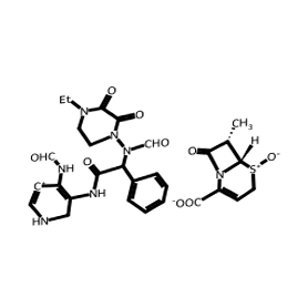 CCN1CCN(N(C=O)C(C(=O)NC2=C(NC=O)[C+]=CNC2)c2ccccc2)C(=O)C1=O.C[C@H]1C(=O)N2C(C(=O)[O-])=CC[S+]([O-])[C@@H]12